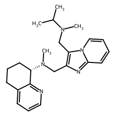 CC(C)N(C)Cc1c(CN(C)[C@H]2CCCc3cccnc32)nc2ccccn12